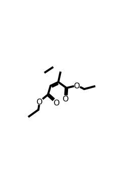 CC.CCOC(=O)/C=C(/C)C(=O)OCC